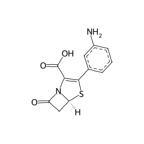 Nc1cccc(C2=C(C(=O)O)N3C(=O)C[C@@H]3S2)c1